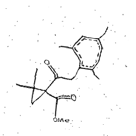 COC(=O)C1(C(=O)Cc2c(C)cc(C)cc2C)CC1(C)C